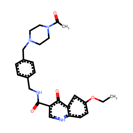 CCOc1ccc2[nH]cc(C(=O)NCc3ccc(CN4CCN(C(C)=O)CC4)cc3)c(=O)c2c1